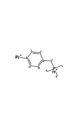 CC(C)c1ccc(C[PH](C)(C)C)cc1